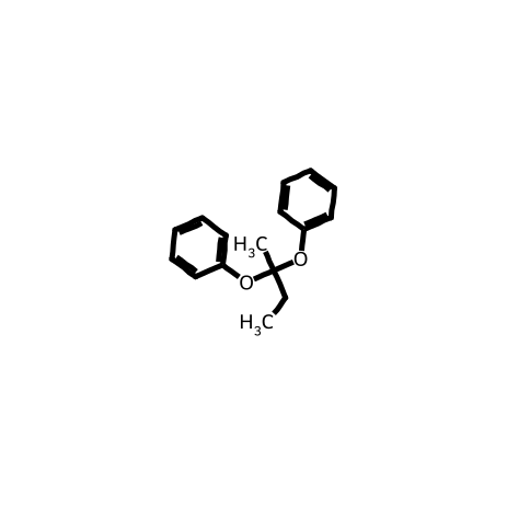 CCC(C)(Oc1ccccc1)Oc1ccccc1